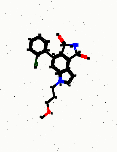 COCCCn1ccc2c3c(c(-c4ccccc4Cl)cc21)C(=O)NC3=O